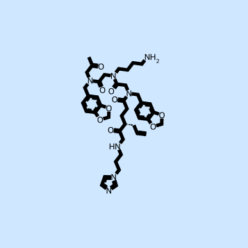 C=CC[C@@H](CCC(=O)N(CC(=O)N(CCCCN)CC(=O)N(CC(C)=O)Cc1ccc2c(c1)OCO2)Cc1ccc2c(c1)OCO2)C(=O)CNCCCn1ccnc1